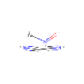 N#CC#N.O=[N][Fe]